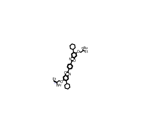 CC/C=C(/CCC)COc1cc2oc(-c3ccc(-c4nc5cc(C6CCCCC6)c(OCC(CC)CCCC)cc5o4)cc3)nc2cc1C1CCCCC1